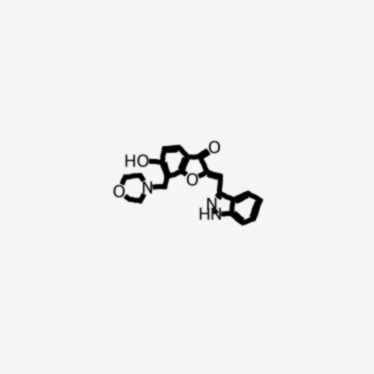 O=C1C(=Cc2n[nH]c3ccccc23)Oc2c1ccc(O)c2CN1CCOCC1